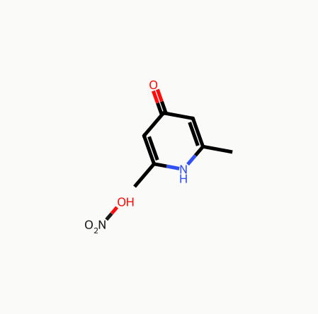 Cc1cc(=O)cc(C)[nH]1.O=[N+]([O-])O